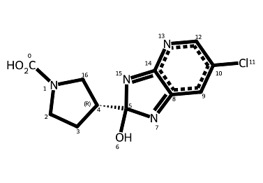 O=C(O)N1CC[C@@H](C2(O)N=c3cc(Cl)cnc3=N2)C1